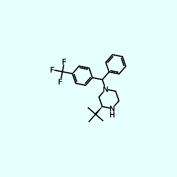 CC(C)(C)[C@H]1CN(C(c2ccccc2)c2ccc(C(F)(F)F)cc2)CCN1